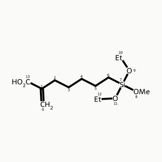 C=C(CCCCC[Si](OC)(OCC)OCC)C(=O)O